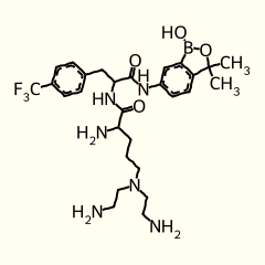 CC1(C)OB(O)c2cc(NC(=O)C(Cc3ccc(C(F)(F)F)cc3)NC(=O)C(N)CCCN(CCN)CCN)ccc21